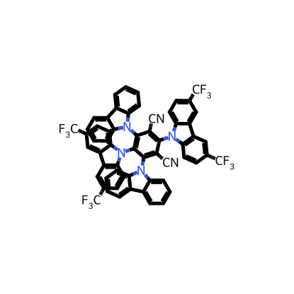 N#Cc1c(-n2c3ccc(C(F)(F)F)cc3c3cc(C(F)(F)F)ccc32)c(C#N)c(-n2c3ccccc3c3ccccc32)c(-n2c3ccc(C(F)(F)F)cc3c3cc(C(F)(F)F)ccc32)c1-n1c2ccccc2c2ccccc21